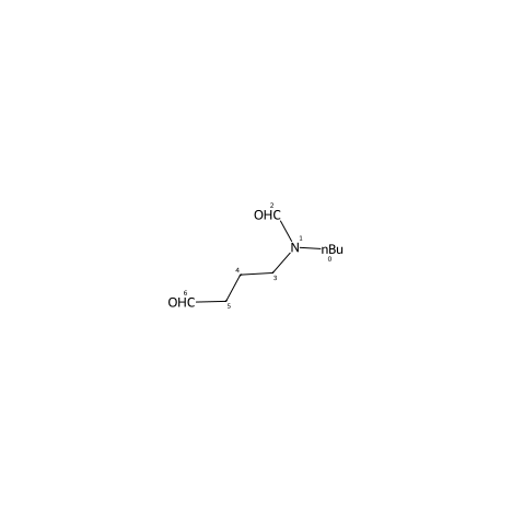 CCCCN(C=O)CCCC=O